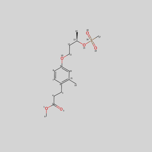 COC(=O)CCc1ccc(OCC[C@@H](C)OS(C)(=O)=O)cc1C